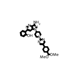 COC(OC)C1CCC(c2cnc(N3CCC(n4nc(N)c5nnc(-c6ccccc6O)cc54)CC3)nc2)CC1